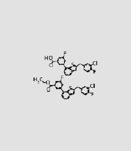 CCOC(=O)c1cc(F)cc(-c2cccc3cc(Cc4ccc(F)c(Cl)c4)sc23)c1.O=C(O)c1cc(F)cc(-c2cccc3cc(Cc4ccc(F)c(Cl)c4)sc23)c1